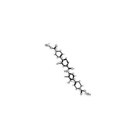 Cc1c(NC(=O)c2ccc(C3=CCN(C(=O)OC(C)(C)C)CC3)c(F)c2)ccc(C2=CCN(C(=O)OC(C)(C)C)CC2)c1F